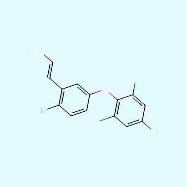 O=C(O)C=Cc1cc(Oc2c(Cl)cc(C(F)(F)F)cc2Cl)ccc1[N+](=O)[O-]